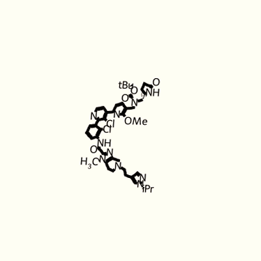 COc1nc(-c2ccnc(-c3cccc(NC(=O)c4nc5c(n4C)CCN(CCc4cnn(C(C)C)c4)C5)c3Cl)c2Cl)ccc1CN(C[C@@H]1CCC(=O)N1)C(=O)OC(C)(C)C